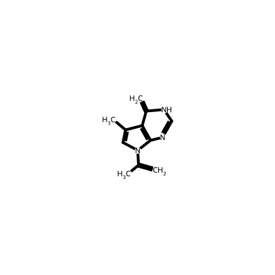 C=C1NC=Nc2c1c(C)cn2C(=C)C